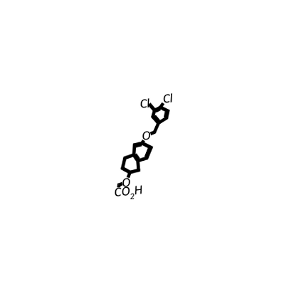 O=C(O)COC1CCc2cc(OCc3ccc(Cl)c(Cl)c3)ccc2C1